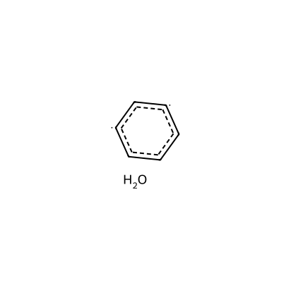 O.[c]1c[c]ccc1